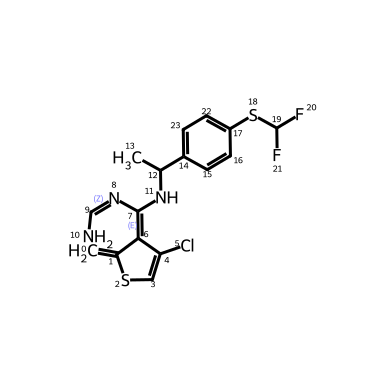 C=c1scc(Cl)/c1=C(/N=C\N)NC(C)c1ccc(SC(F)F)cc1